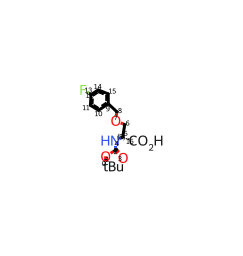 CC(C)(C)OC(=O)N[C@H](COCc1ccc(F)cc1)C(=O)O